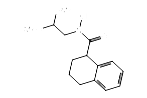 COC(CN(C)C(=O)C1CCCc2ccccc21)OC